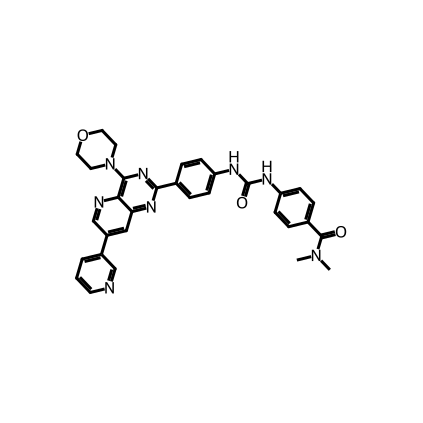 CN(C)C(=O)c1ccc(NC(=O)Nc2ccc(-c3nc(N4CCOCC4)c4ncc(-c5cccnc5)cc4n3)cc2)cc1